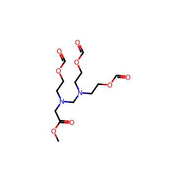 COC(=O)CN(CCOC=O)CN(CCOC=O)CCOC=O